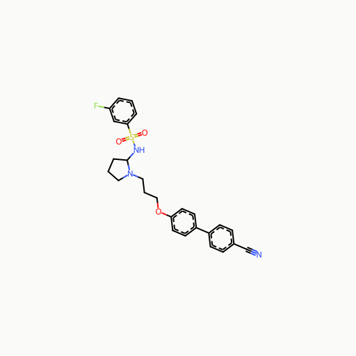 N#Cc1ccc(-c2ccc(OCCCN3CCCC3NS(=O)(=O)c3cccc(F)c3)cc2)cc1